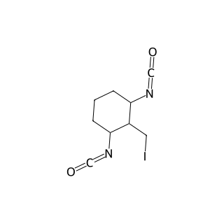 O=C=NC1CCCC(N=C=O)C1CI